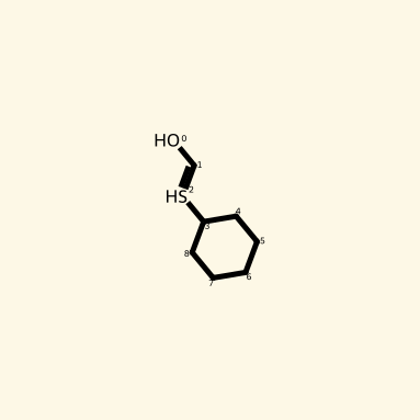 OC=[SH]C1CCCCC1